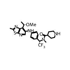 CO[C@@H](C)c1c(Nc2ccc([C@H](N(C)C(=O)C3CCNCC3)C(F)(F)F)cc2)cnc2sc(C)nc12